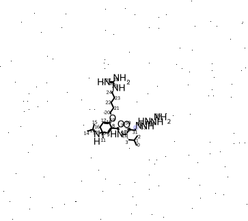 CC(C)C[C@H](NC(=O)C1=CC(C)(NC(C)C)CC=C1OCCCCCNC(=N)N)C(=O)/C=N/NNNN